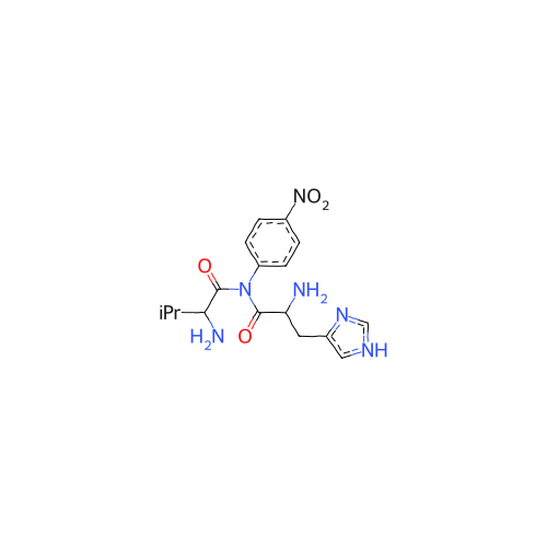 CC(C)C(N)C(=O)N(C(=O)C(N)Cc1c[nH]cn1)c1ccc([N+](=O)[O-])cc1